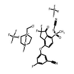 CS(=O)(=NC#N)c1ccc(Oc2cc(F)cc(C#N)c2)c2c1C(=O)C(F)(F)C2.F[B-](F)(F)F.F[B-](F)(F)F.F[N+]12CC[N+](CCl)(CC1)CC2